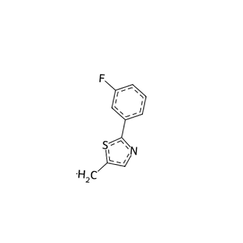 [CH2]c1cnc(-c2cccc(F)c2)s1